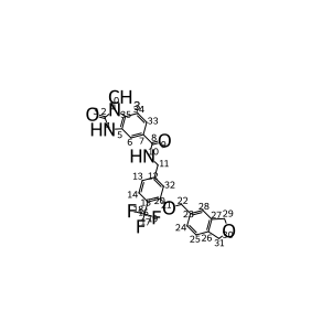 Cn1c(=O)[nH]c2cc(C(=O)NCc3ccc(C(F)(F)F)c(OCc4ccc5c(c4)COC5)c3)ccc21